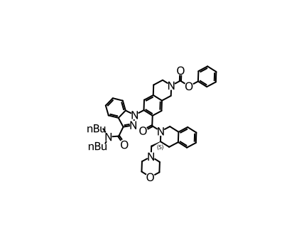 CCCCN(CCCC)C(=O)c1nn(-c2cc3c(cc2C(=O)N2Cc4ccccc4C[C@H]2CN2CCOCC2)CN(C(=O)Oc2ccccc2)CC3)c2ccccc12